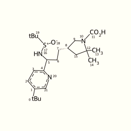 CC(C)(C)c1ccc(C(CC[C@@H]2CN(C(=O)O)C(C)(C)C2)N[S+]([O-])C(C)(C)C)nc1